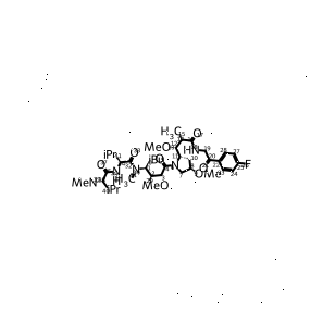 CC[C@H](C)[C@@H]([C@@H](CC(=O)N1C[C@H](OC)C[C@H]1[C@H](OC)[C@@H](C)C(=O)NCC(=O)c1ccc(F)cc1)OC)N(C)C(=O)[C@@H](NC(=O)[C@@H](NC)C(C)C)C(C)C